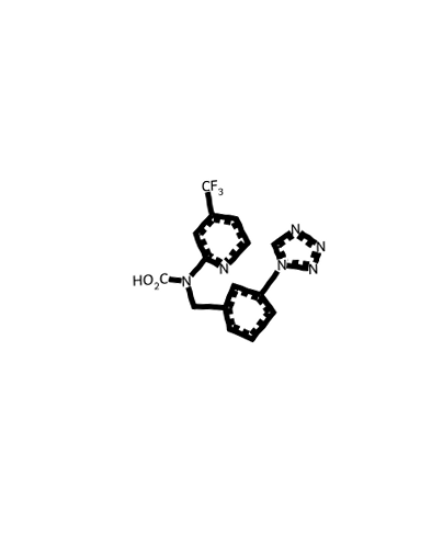 O=C(O)N(Cc1cccc(-n2cnnn2)c1)c1cc(C(F)(F)F)ccn1